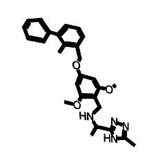 COc1cc(OCc2cccc(-c3ccccc3)c2C)cc(OC)c1CNC(C)c1nnc(C)[nH]1